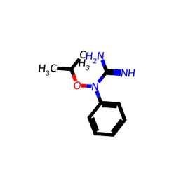 CC(C)ON(C(=N)N)c1ccccc1